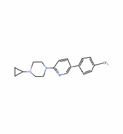 FC(F)(F)c1ccc(-c2ccc(N3CCN(C4CC4)CC3)nc2)cc1